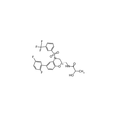 CC(O)C(=O)NC[C@H]1CN(S(=O)(=O)c2cccc(C(F)(F)F)c2)c2cc(-c3cc(F)ccc3F)ccc2O1